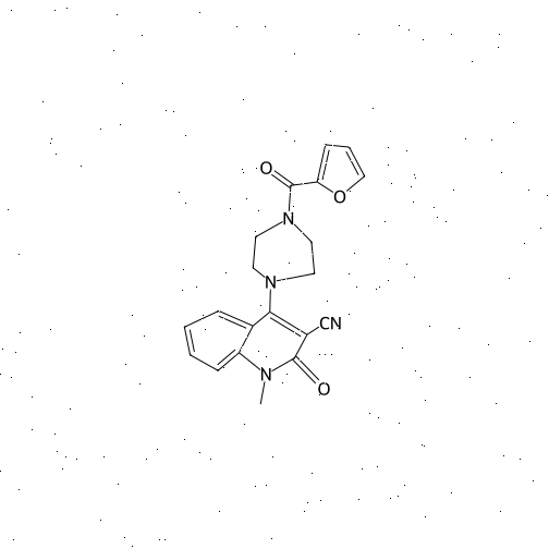 Cn1c(=O)c(C#N)c(N2CCN(C(=O)c3ccco3)CC2)c2ccccc21